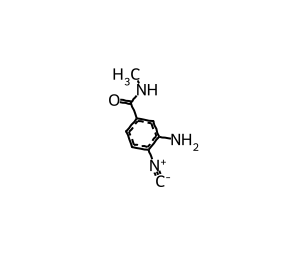 [C-]#[N+]c1ccc(C(=O)NC)cc1N